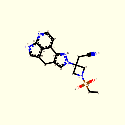 CCS(=O)(=O)N1CC(CC#N)(n2cc3c(n2)-c2ccnc4[nH]cc(c24)C3)C1